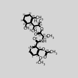 COc1ccnc(C(=O)N[C@@H](C)C(=O)OC(C)C(C)c2c(C)cccc2C)c1OC(C)=O